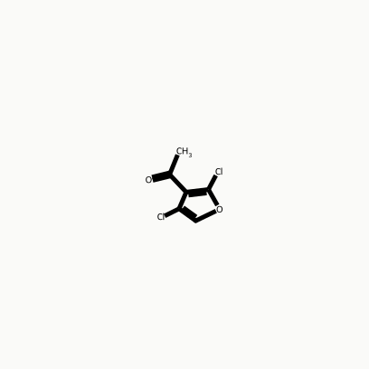 CC(=O)c1c(Cl)coc1Cl